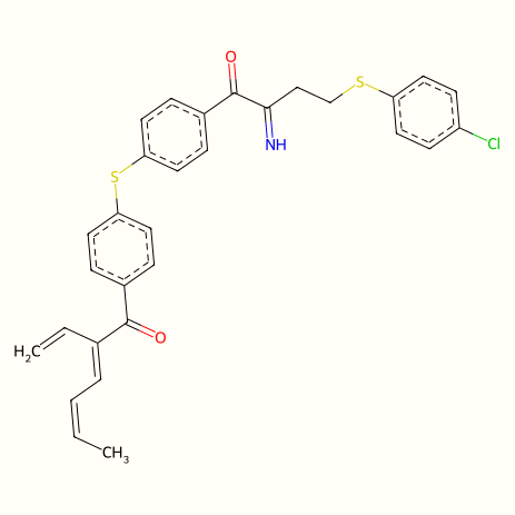 C=C/C(=C\C=C/C)C(=O)c1ccc(Sc2ccc(C(=O)C(=N)CCSc3ccc(Cl)cc3)cc2)cc1